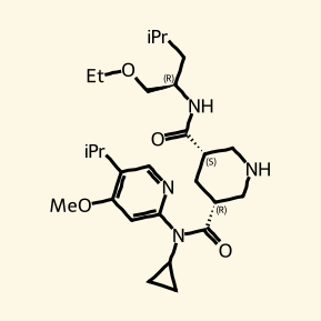 CCOC[C@@H](CC(C)C)NC(=O)[C@@H]1CNC[C@H](C(=O)N(c2cc(OC)c(C(C)C)cn2)C2CC2)C1